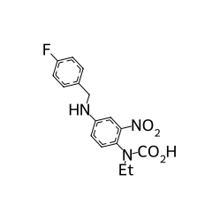 CCN(C(=O)O)c1ccc(NCc2ccc(F)cc2)cc1[N+](=O)[O-]